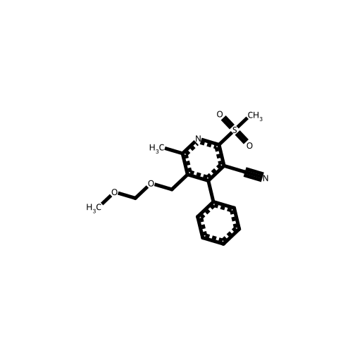 COCOCc1c(C)nc(S(C)(=O)=O)c(C#N)c1-c1ccccc1